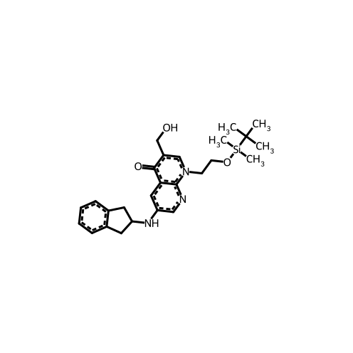 CC(C)(C)[Si](C)(C)OCCn1cc(CO)c(=O)c2cc(NC3Cc4ccccc4C3)cnc21